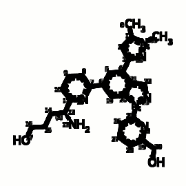 Cc1cc(-c2cc(-c3cccc([C@@H](N)CCCO)n3)cc3c2cnn3-c2cccc(CO)n2)nn1C